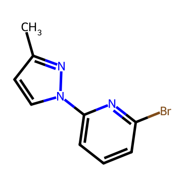 Cc1ccn(-c2cccc(Br)n2)n1